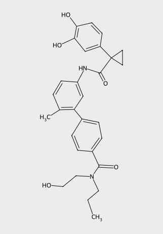 CCCN(CCO)C(=O)c1ccc(-c2cc(NC(=O)C3(c4ccc(O)c(O)c4)CC3)ccc2C)cc1